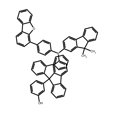 CC1(C)c2ccccc2-c2ccc(N(c3ccc(-c4cccc5c4oc4ccccc45)cc3)c3ccc4c(c3)C(c3cccc(O)c3)(c3ccccc3-c3ccccc3)c3ccccc3-4)cc21